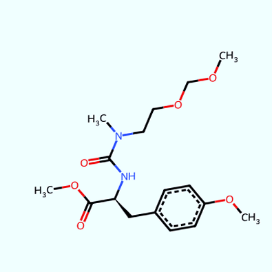 COCOCCN(C)C(=O)N[C@@H](Cc1ccc(OC)cc1)C(=O)OC